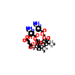 CC(C)(C)C(=O)OCOC(=O)[C@H]1CC[C@H](CN)CC1.CC(C)(C)C(=O)OCOC(=O)[C@H]1CC[C@H](CN)CC1.O=C(O)/C=C/C(=O)O